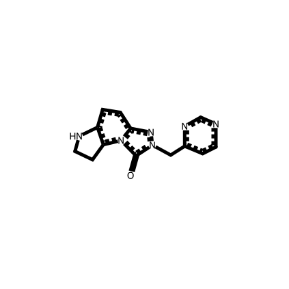 O=c1n(Cc2ccncn2)nc2ccc3c(n12)CCN3